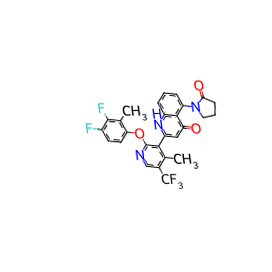 Cc1c(Oc2ncc(C(F)(F)F)c(C)c2-c2cc(=O)c3c(N4CCCC4=O)cccc3[nH]2)ccc(F)c1F